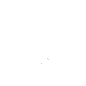 FC(F)Oc1ccccc1COC1CC2CCC(C1)N2